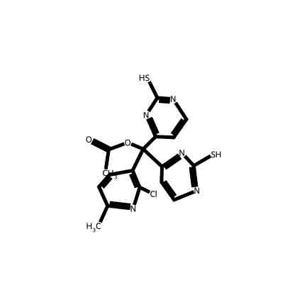 CC(=O)OC(c1ccnc(S)n1)(c1ccnc(S)n1)c1ccc(C)nc1Cl